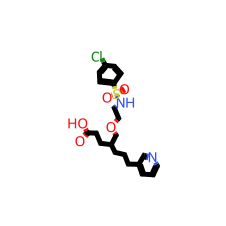 O=C(O)CCC(CCCc1cccnc1)COCCNS(=O)(=O)c1ccc(Cl)cc1